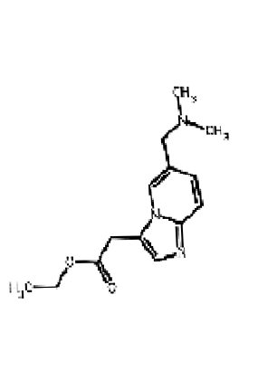 CCOC(=O)Cc1cnc2ccc(CN(C)C)cn12